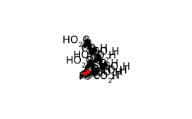 O=C(O)CN(CCN(CC(=O)O)CC(=O)O)CC(=O)O.O=C(O)CN(CCN(CC(=O)O)CC(=O)O)CC(=O)O.O=C(O)CN(CCN(CC(=O)O)CC(=O)O)CC(=O)O.[Fe].[Fe].[Fe].[Fe].[Fe]